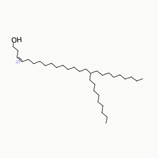 CCCCCCCCCC(CCCCCCCCC)CCCCCCCCCCC/C=C\CCO